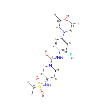 CC1CN(c2ccc(NC(=O)N3CCC(NS(=O)(=O)C(C)C)CC3)c(F)c2)CC(C)O1